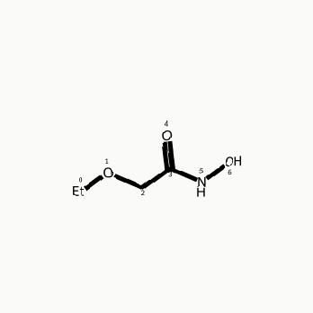 CCOCC(=O)NO